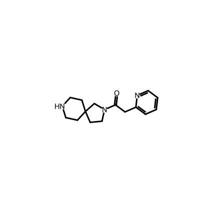 O=C(Cc1ccccn1)N1CCC2(CCNCC2)C1